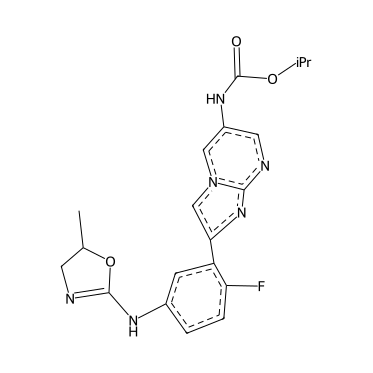 CC(C)OC(=O)Nc1cnc2nc(-c3cc(NC4=NCC(C)O4)ccc3F)cn2c1